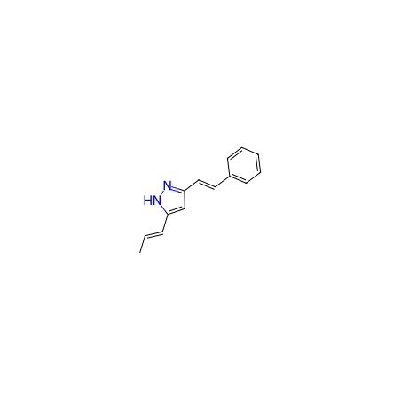 C/C=C/c1cc(/C=C/c2ccccc2)n[nH]1